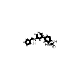 O=c1[nH]c2ccc(-c3cncc(NCC4CCCC4)c3)cc2[nH]1